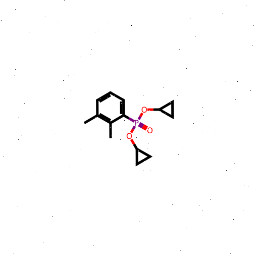 Cc1cccc(P(=O)(OC2CC2)OC2CC2)c1C